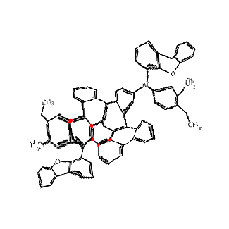 CCc1ccc(N(c2ccc3c(-c4ccccc4-c4ccccc4)c4cc(N(c5ccc(CC)c(C)c5)c5cccc6c5oc5ccccc56)ccc4c(-c4ccccc4-c4ccccc4)c3c2)c2cccc3c2oc2ccccc23)cc1C